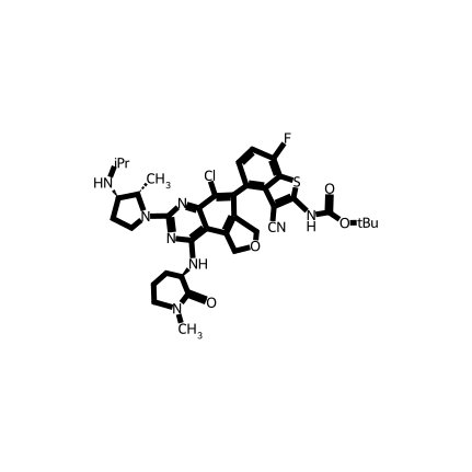 CC(C)N[C@H]1CCN(c2nc(N[C@@H]3CCCN(C)C3=O)c3c4c(c(-c5ccc(F)c6sc(NC(=O)OC(C)(C)C)c(C#N)c56)c(Cl)c3n2)COC4)[C@H]1C